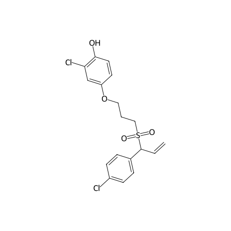 C=CC(c1ccc(Cl)cc1)S(=O)(=O)CCCOc1ccc(O)c(Cl)c1